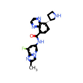 Cc1cn2cc(NC(=O)c3ccc([C@@H]4CCNC4)c4nccnc34)cc(F)c2n1